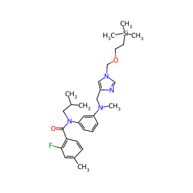 Cc1ccc(C(=O)N(CC(C)C)c2cccc(N(C)Cc3cn(COCC[Si](C)(C)C)cn3)c2)c(F)c1